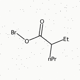 CCCC(CC)C(=O)OBr